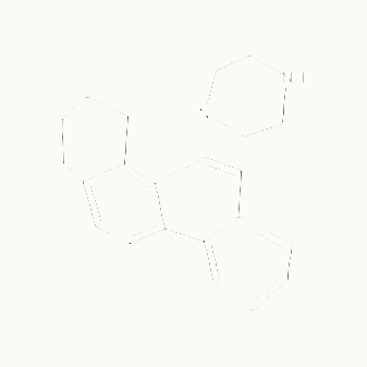 C1CNCCN1.c1ccc2c(c1)ccc1c3c(ccc12)CCCC3